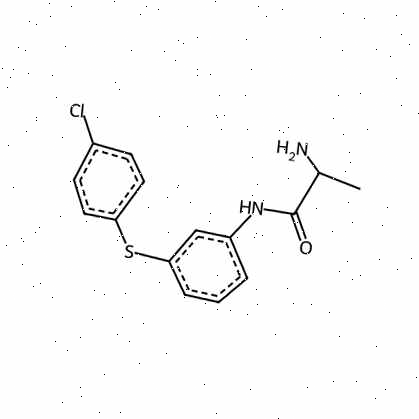 CC(N)C(=O)Nc1cccc(Sc2ccc(Cl)cc2)c1